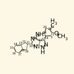 COc1cc(-c2n[nH]c3nc(C4Cc5ccccc5C4)nc(N)c23)ccc1C